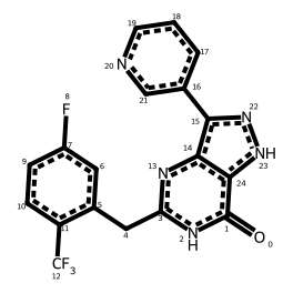 O=c1[nH]c(Cc2cc(F)ccc2C(F)(F)F)nc2c(-c3cccnc3)n[nH]c12